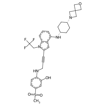 CS(=O)(=O)c1ccc(NCC#Cc2cc3c(N[C@H]4CC[C@@H](N5CC6(COC6)C5)CC4)cccc3n2CC(F)(F)F)c(O)c1